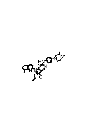 C=CCn1c(=O)c2cnc(Nc3ccc(N4CCN(C)C(C)C4)cc3)nc2n1-c1ccc2c(n1)C(C)CC2